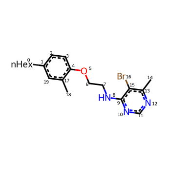 CCCCCCc1ccc(OCCNc2ncnc(C)c2Br)c(C)c1